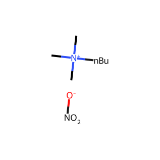 CCCC[N+](C)(C)C.O=[N+]([O-])[O-]